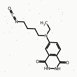 CCN(CCCCN=C=O)c1ccc2c(=O)[nH][nH]c(=O)c2c1